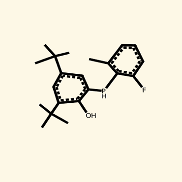 Cc1cccc(F)c1Pc1cc(C(C)(C)C)cc(C(C)(C)C)c1O